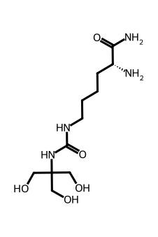 NC(=O)[C@H](N)CCCCNC(=O)NC(CO)(CO)CO